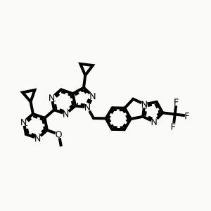 COc1ncnc(C2CC2)c1-c1ncc2c(C3CC3)nn(Cc3ccc4c(c3)Cn3cc(C(F)(F)F)nc3-4)c2n1